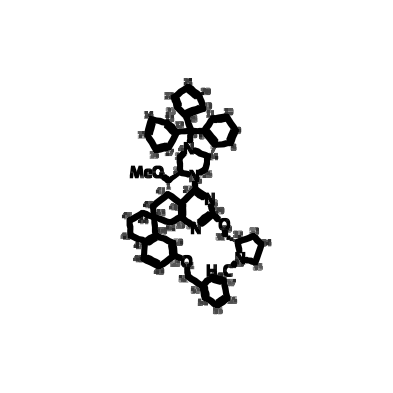 COC[C@H]1CN(C(c2ccccc2)(c2ccccc2)c2ccccc2)CCN1c1nc(OC[C@@H]2CCCN2C)nc2c1CCC1(CCCc3ccc(OCc4ccccc4)cc31)C2